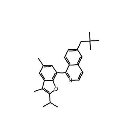 Cc1cc(-c2nccc3cc(CC(C)(C)C)ccc23)c2oc(C(C)C)c(C)c2c1